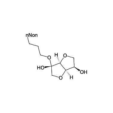 CCCCCCCCCCCCO[C@@]1(O)CO[C@@H]2[C@H](O)CO[C@@H]21